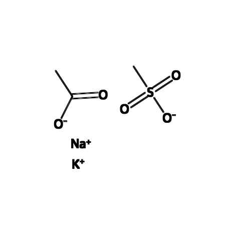 CC(=O)[O-].CS(=O)(=O)[O-].[K+].[Na+]